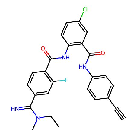 C#Cc1ccc(NC(=O)c2cc(Cl)ccc2NC(=O)c2ccc(C(=N)N(C)CC)cc2F)cc1